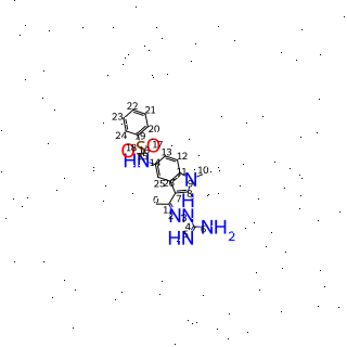 C/C(=N/NC(=N)N)c1cn(C)c2ccc(NS(=O)(=O)c3ccccc3)cc12